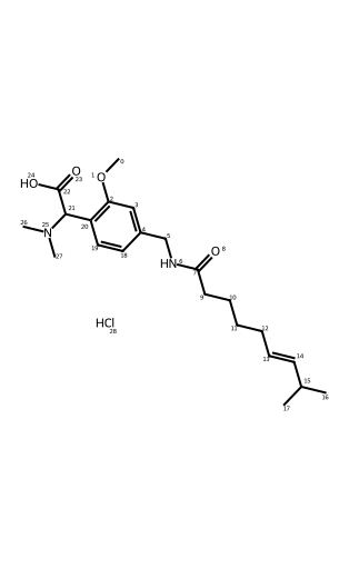 COc1cc(CNC(=O)CCCC/C=C/C(C)C)ccc1C(C(=O)O)N(C)C.Cl